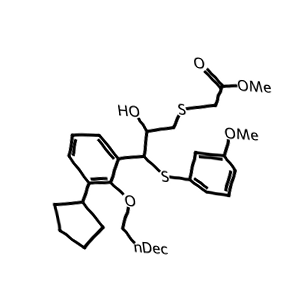 CCCCCCCCCCCOc1c(C2CCCC2)cccc1C(Sc1cccc(OC)c1)C(O)CSCC(=O)OC